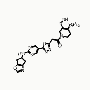 N=NC1=C(N)CCN(C(=O)Cc2nnc(-c3cnc(NC4Cc5ncoc5C4)nc3)o2)C1